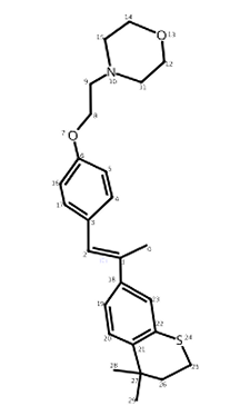 C/C(=C\c1ccc(OCCN2CCOCC2)cc1)c1ccc2c(c1)SCCC2(C)C